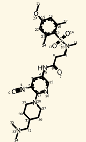 [C-]#[N+]c1cc(NC(=O)CCN(C)S(=O)(=O)c2c(C)cc(OC)cc2C)cnc1N1CCC(CN(C)C)CC1